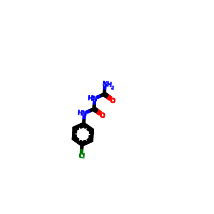 NC(=O)NC(=O)Nc1ccc(Cl)cc1